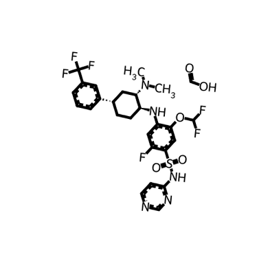 CN(C)[C@H]1C[C@@H](c2cccc(C(F)(F)F)c2)CC[C@@H]1Nc1cc(F)c(S(=O)(=O)Nc2ccncn2)cc1OC(F)F.O=CO